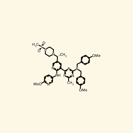 COc1ccc(CN(Cc2ccc(OC)cc2)c2nc(C)nc(-c3cc([C@@H](C)N4CCN(S(C)(=O)=O)CC4)cnc3Nc3ccc(OC)nc3)n2)cc1